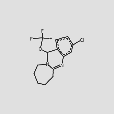 FC(F)(F)OC1c2ccc(Cl)cc2N=C2CCCCCN21